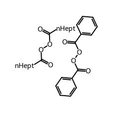 CCCCCCCC(=O)OOC(=O)CCCCCCC.O=C(OOC(=O)c1ccccc1)c1ccccc1